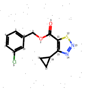 O=C(OCc1cccc(Cl)c1)c1snnc1C1CC1